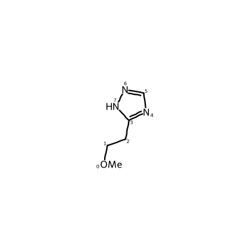 COCCc1ncn[nH]1